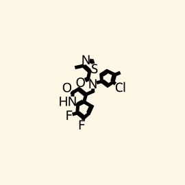 Cc1ccc(N(Cc2cc(=O)[nH]c3c(F)c(F)ccc23)C(=O)c2scnc2C)cc1Cl